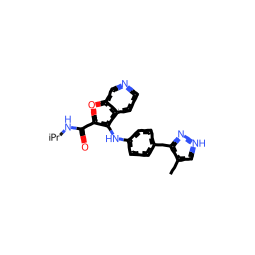 Cc1c[nH]nc1-c1ccc(Nc2c(C(=O)NC(C)C)oc3cnccc23)cc1